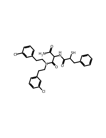 NC(=O)C(NC(=O)C(S)Cc1ccccc1)C(=O)N(CCc1cccc(Cl)c1)CCc1cccc(Cl)c1